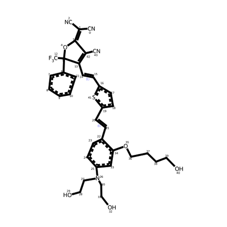 N#CC(C#N)=C1OC(c2ccccc2)(C(F)(F)F)C(/C=C/c2ccc(/C=C/c3ccc(N(CCO)CCO)cc3OCCCCO)s2)=C1C#N